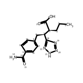 CCC[C@H](C(=O)O)[C@H](Cc1ccc(C(N)=O)cc1)c1nn[nH]n1